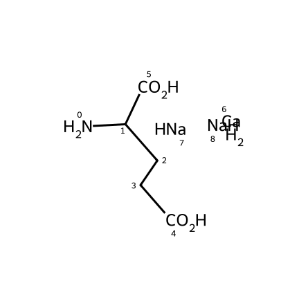 NC(CCC(=O)O)C(=O)O.[CaH2].[NaH].[NaH]